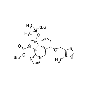 Cc1ncsc1COc1ccccc1Cn1ccnc1[C@@H]1C[C@@H](O[Si](C)(C)C(C)(C)C)CN1C(=O)OC(C)(C)C